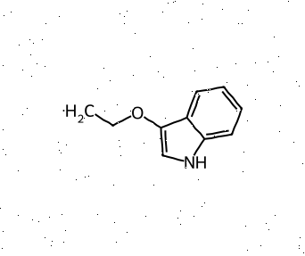 [CH2]COc1c[nH]c2ccccc12